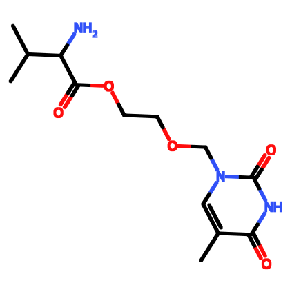 Cc1cn(COCCOC(=O)C(N)C(C)C)c(=O)[nH]c1=O